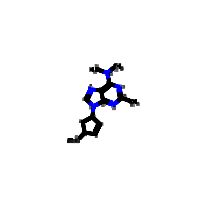 COC1C=CC(n2cnc3c(N(C)C)nc(C)nc32)C1